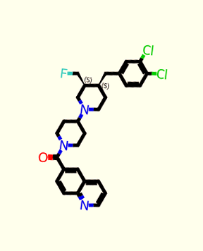 O=C(c1ccc2ncccc2c1)N1CCC(N2CC[C@H](Cc3ccc(Cl)c(Cl)c3)[C@H](CF)C2)CC1